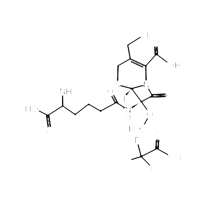 CO[C@@]1(NC(=O)CCCC(N)C(=O)O)C(=O)N2C(C(=O)O)=C(CCl)CS[C@H]21.O=C(O)C(F)(F)F